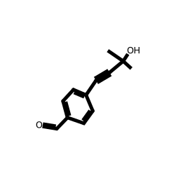 CC(C)(O)C#Cc1ccc(C=O)cc1